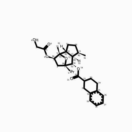 CC(C)[C@@]12C[C@@H](OC(=O)CO)[C@@](C)(O1)[C@@H]1CC[C@@H](C)[C@H]1[C@@H]2OC(=O)C1CCc2ccccc2C1